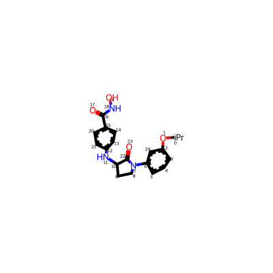 CC(C)Oc1cccc(N2CCC(Nc3ccc(C(=O)NO)cc3)C2=O)c1